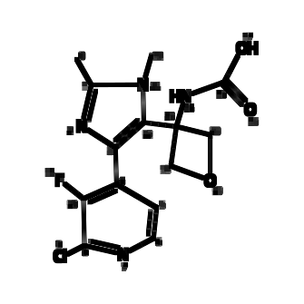 Cc1nc(-c2ccnc(Cl)c2F)c(C2(NC(=O)O)COC2)n1C